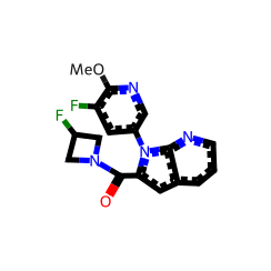 COc1ncc(-n2c(C(=O)N3CC(F)C3)cc3cccnc32)cc1F